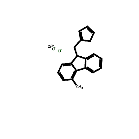 Cc1cccc2c1-c1ccccc1C2CC1=CC=CC1.[Cl-].[Cl-].[Zr+2]